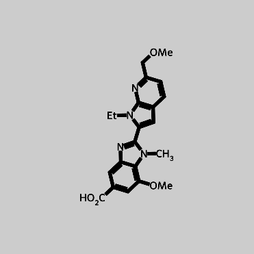 CCn1c(-c2nc3cc(C(=O)O)cc(OC)c3n2C)cc2ccc(COC)nc21